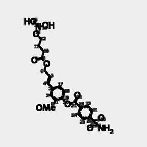 COc1cc(/C=C/COC(=O)CCCON(O)O)ccc1OC(=O)c1ccc(S(N)(=O)=O)cc1